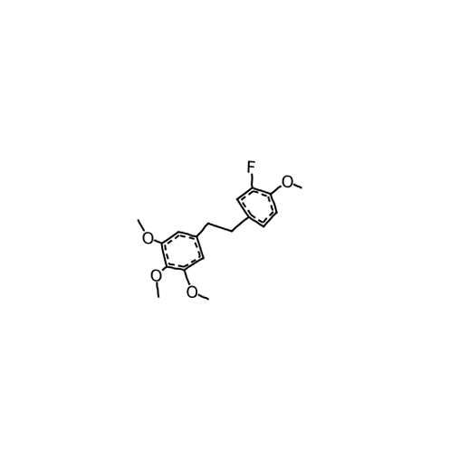 COc1ccc(CCc2cc(OC)c(OC)c(OC)c2)cc1F